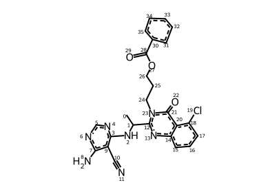 CC(Nc1ncnc(N)c1C#N)c1nc2cccc(Cl)c2c(=O)n1CCCOC(=O)c1ccccc1